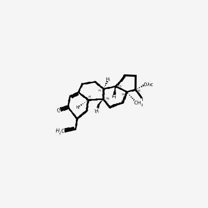 C=CC1C[C@H]2C(=CC1=O)CC[C@@H]1[C@@H]2CC[C@@]2(C)[C@H]1CC[C@]2(I)OC(C)=O